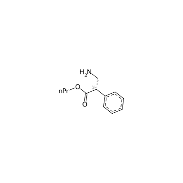 CCCOC(=O)[C@H](CN)c1ccccc1